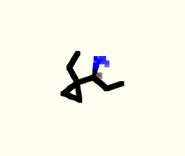 CC[C@H](N)C1(CC)CC1